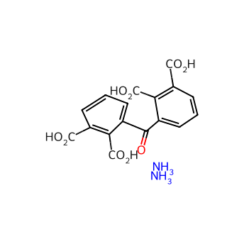 N.N.O=C(O)c1cccc(C(=O)c2cccc(C(=O)O)c2C(=O)O)c1C(=O)O